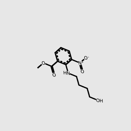 COC(=O)c1cccc([N+](=O)[O-])c1NCCCCO